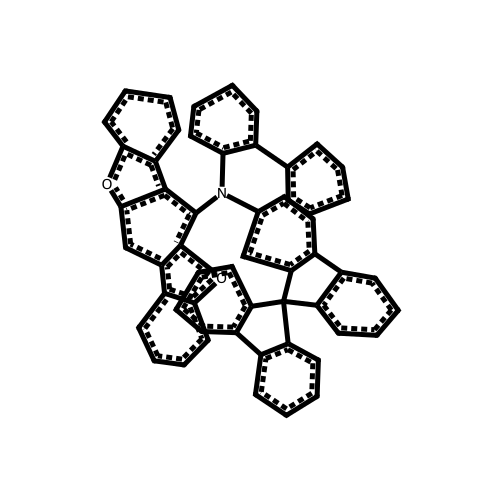 c1ccc(-c2ccccc2N(c2ccc3c(c2)C2(c4ccccc4-c4ccccc42)c2ccccc2-3)c2c3oc4ccccc4c3cc3oc4ccccc4c23)cc1